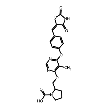 Cc1c(OCC2CCCN2C(=O)O)ncnc1Oc1ccc(/C=C2/SC(=O)NC2=O)cc1